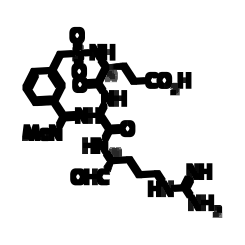 CNC(=N)c1cccc(CS(=O)(=O)N[C@@H](CCC(=O)O)C(=O)NCC(=O)N[C@H](C=O)CCCNC(=N)N)c1